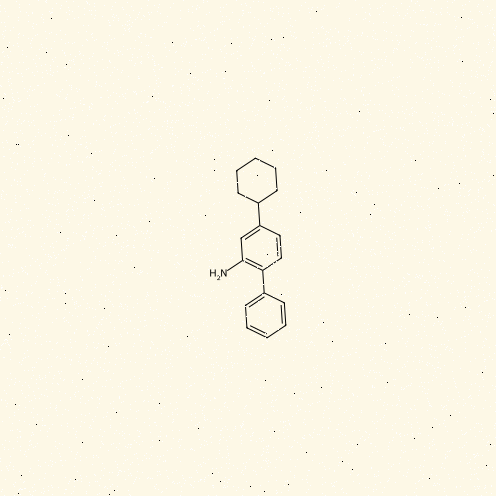 Nc1cc(C2CCCCC2)ccc1-c1ccccc1